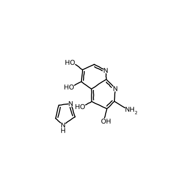 Nc1nc2ncc(O)c(O)c2c(O)c1O.c1c[nH]cn1